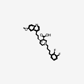 COc1ccc2nccc(CCC[C@@H]3CCN(CCCCc4cccc(F)c4F)C[C@@H]3C(=O)O)c2c1